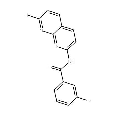 O=C(Nc1ccc2ccc(Cl)nc2n1)c1cccc(Br)c1